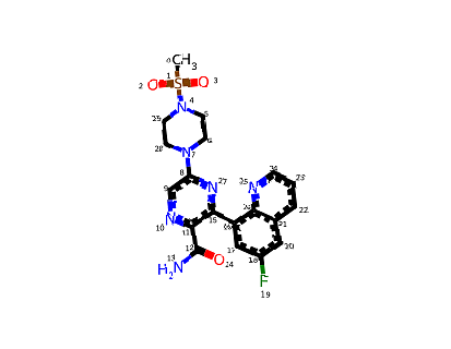 CS(=O)(=O)N1CCN(c2cnc(C(N)=O)c(-c3cc(F)cc4cccnc34)n2)CC1